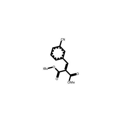 COC(=O)C(=Cc1cccc(C#N)c1)C(=O)OC(C)(C)C